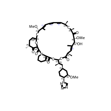 CO[C@H]1C[C@@H]2CC[C@@H](C)C(=O)C(O)(O2)C(=O)N2CCCC[C@H]2C(=O)O[C@H]([C@H](C)C[C@@H]2CC[C@H](n3cnnn3)[C@H](OC)C2)CC(=O)[C@H](C)/C=C(\C)[C@@H](O)[C@@H](OC)C(=O)[C@H](C)C[C@H](C)/C=C/C=C/C=C/1C